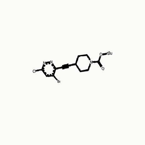 CC(C)(C)OC(=O)N1CCC(C#Cc2nnc(Cl)cc2Br)CC1